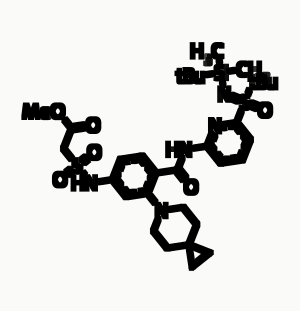 COC(=O)CS(=O)(=O)Nc1ccc(C(=O)Nc2cccc(S(=O)(=N[Si](C)(C)C(C)(C)C)C(C)(C)C)n2)c(N2CCC3(CC2)CC3)c1